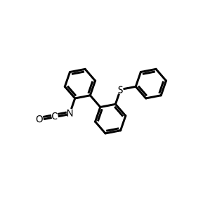 O=C=Nc1ccccc1-c1ccccc1Sc1ccccc1